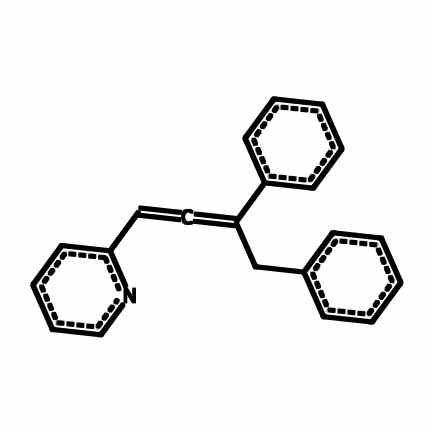 C(=Cc1ccccn1)=C(Cc1ccccc1)c1ccccc1